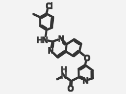 CNC(=O)c1cc(Oc2ccc3nc(Nc4ccc(Cl)c(C)c4)ncc3c2)ccn1